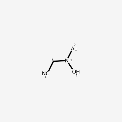 CC(=O)N(O)CC#N